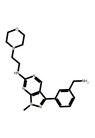 Cn1nc(-c2cccc(CN)c2)c2cnc(NCCN3CCOCC3)nc21